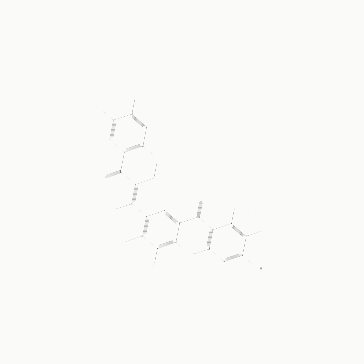 CC(=O)c1c(C)c(/C(O)=C2\COc3cc(O)c(O)cc3C2=O)cc2c(=O)c3c(C(=O)O)c(O)c(O)cc3oc12